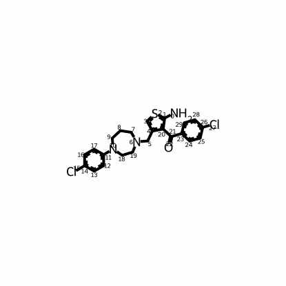 Nc1scc(CN2CCCN(c3ccc(Cl)cc3)CC2)c1C(=O)c1ccc(Cl)cc1